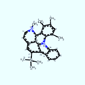 Cc1cc(C)c2c(c1C)c1c3c(cc[n+]1C)cc([Si](C)(C)C)c1c4ccccc4n2c13